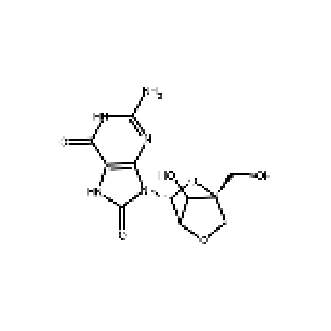 Nc1nc2c([nH]c(=O)n2[C@@H]2O[C@]3(CO)COC2C3O)c(=O)[nH]1